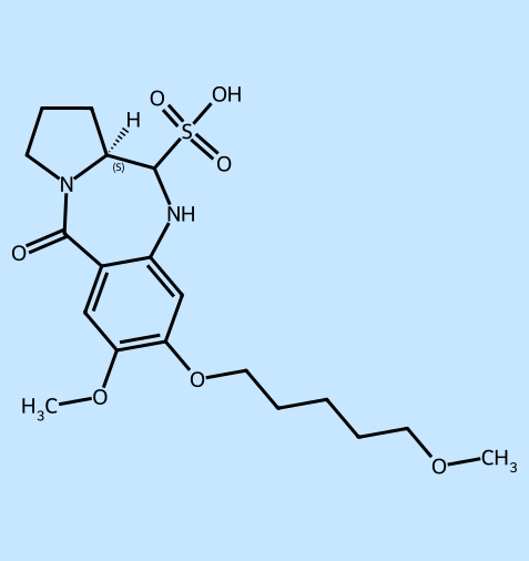 COCCCCCOc1cc2c(cc1OC)C(=O)N1CCC[C@H]1C(S(=O)(=O)O)N2